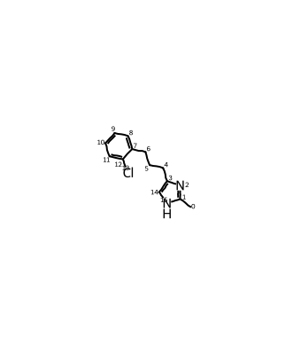 Cc1nc(CCCc2ccccc2Cl)c[nH]1